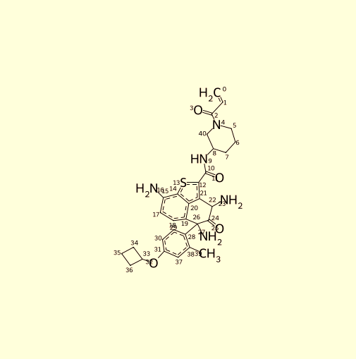 C=CC(=O)N1CCCC(NC(=O)c2sc3c(N)ccc4c3c2C(N)C(=O)C4(N)c2ccc(OC3CCC3)cc2C)C1